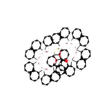 c1ccc([Si]2(S[Si]3(c4ccccc4)O[Si](c4ccccc4)(c4ccccc4)O[Si](c4ccccc4)(c4ccccc4)O[Si](c4ccccc4)(c4ccccc4)O[Si](c4ccccc4)(c4ccccc4)O3)O[Si](c3ccccc3)(c3ccccc3)O[Si](c3ccccc3)(c3ccccc3)O[Si](c3ccccc3)(c3ccccc3)O[Si](c3ccccc3)(c3ccccc3)O2)cc1